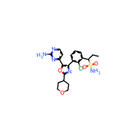 CCC(c1cccc(-c2nc(C3CCOCC3)oc2-c2ccnc(N)n2)c1Cl)S(N)(=O)=O